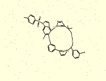 Cc1ccc(S(=O)(=O)n2ccc3c4c(c(F)cc32)Sc2cccc(c2)-c2ccn(n2)C(c2cccc(I)c2)CCCCC(C)(C)c2cn(nn2)C4)cc1